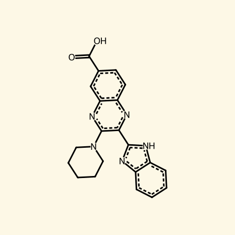 O=C(O)c1ccc2nc(-c3nc4ccccc4[nH]3)c(N3CCCCC3)nc2c1